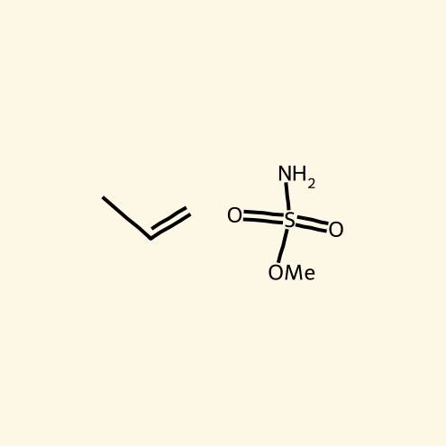 C=CC.COS(N)(=O)=O